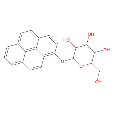 OCC1OC(Oc2ccc3ccc4cccc5ccc2c3c45)C(O)C(O)C1O